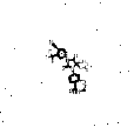 CC1(C)C(=O)N(c2ccc(C#N)c(C(F)(F)F)c2)C(=S)N1c1ccc2c(c1)OCCNC2=O